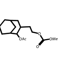 COC(=O)OCCC1CC2CCCC(C2)C1OC(C)=O